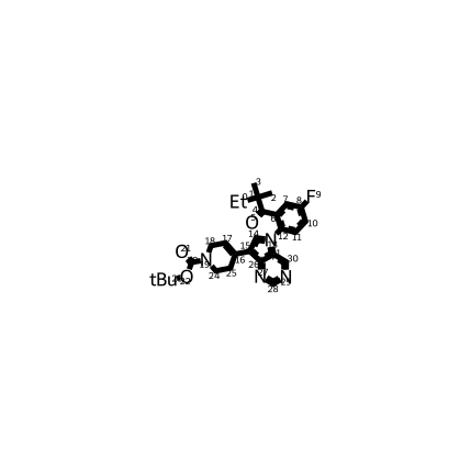 CCC(C)(C)C(=O)c1cc(F)ccc1-n1cc(C2=CCN(C(=O)OC(C)(C)C)CC2)c2ncncc21